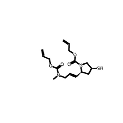 C=CCOC(=O)N(C)C/C=C/[C@@H]1C[C@H](S)CN1C(=O)OCC=C